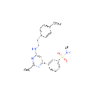 CCNS(=O)(=O)c1cccc(-c2cc(NCCc3ccc(OC)cc3)nc(OC)n2)c1